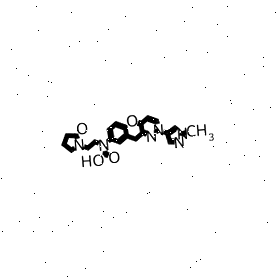 Cn1cc(-n2ccc(=O)c(Cc3cccc(N(CCN4CCCC4=O)C(=O)O)c3)n2)cn1